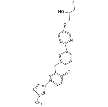 Cn1cc(-n2ccc(=O)c(Cc3cccc(-c4ncc(OCC(O)CF)cn4)c3)n2)cn1